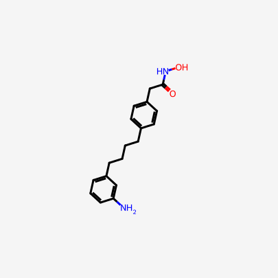 Nc1cccc(CCCCc2ccc(CC(=O)NO)cc2)c1